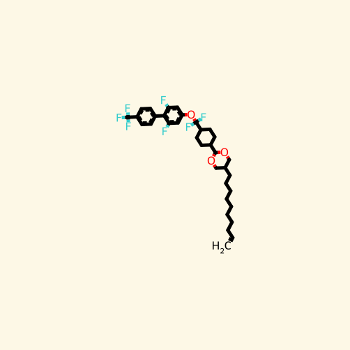 C=CCCCCCCCCC1COC(C2CCC(C(F)(F)Oc3cc(F)c(-c4ccc(C(F)(F)F)cc4)c(F)c3)CC2)OC1